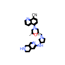 C[C@@H]1CN(c2ccc(C#N)c3ncccc23)C[C@H](CN2CCC(Nc3cc4c(cn3)CNCC4)C2)O1